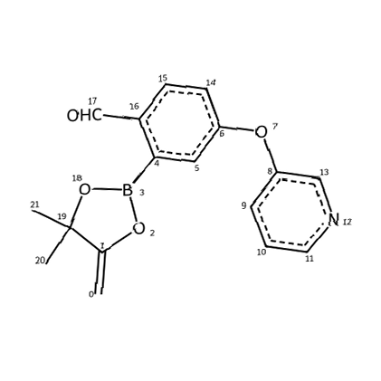 C=C1OB(c2cc(Oc3cccnc3)ccc2C=O)OC1(C)C